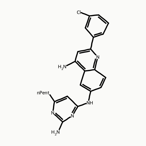 CCCCCc1cc(Nc2ccc3nc(-c4cccc(Cl)c4)cc(N)c3c2)nc(N)n1